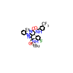 CCN1C(=O)[C@H](NC(=O)c2cccc(C(F)(F)F)c2)[C@H](c2ccc(F)cc2)c2c(C(C)(C)N[S@+]([O-])C(C)(C)C)nn(-c3ccccc3)c21